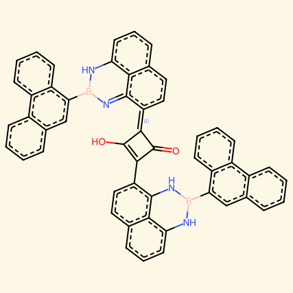 O=C1C(c2ccc3cccc4c3c2NB(c2cc3ccccc3c3ccccc23)N4)=C(O)/C1=c1/ccc2cccc3c2c1=NB(c1cc2ccccc2c2ccccc12)N3